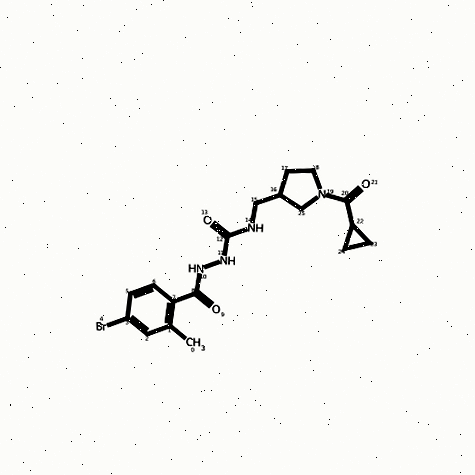 Cc1cc(Br)ccc1C(=O)NNC(=O)NCC1CCN(C(=O)C2CC2)C1